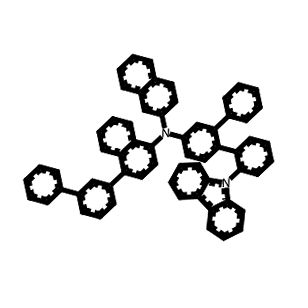 c1ccc(-c2cccc(-c3ccc(N(c4ccc(-c5ccccc5-n5c6ccccc6c6ccccc65)c(-c5ccccc5)c4)c4ccc5ccccc5c4)c4ccccc34)c2)cc1